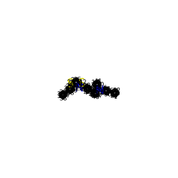 c1ccc(-c2ccc(-n3c4ccccc4c4c(-c5ccc(-c6nc7c(ccc8sc9cc(-c%10ccccc%10)ccc9c87)s6)cc5)cccc43)cc2)cc1